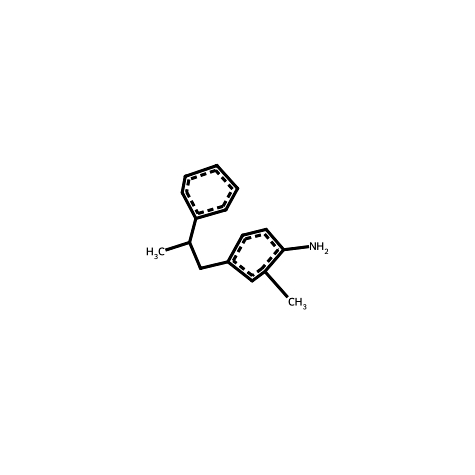 Cc1cc(CC(C)c2ccccc2)ccc1N